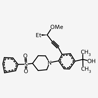 CC[C@H](C#Cc1cc(C(C)(C)O)ccc1N1CCC(S(=O)(=O)c2ccccc2)CC1)OC